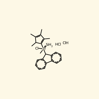 CC1=C(C)C(C)[C]([Zr]([CH3])(=[SiH2])([Cl])[CH]2c3ccccc3-c3ccccc32)=C1C.Cl.Cl